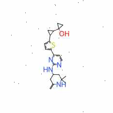 C=C1CC(Nc2nccc(-c3ccc(C4CC4C4(O)CC4)s3)n2)CC(C)(C)N1